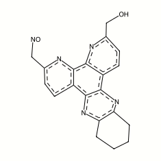 O=NCc1ccc2c(n1)c1nc(CO)ccc1c1nc3c(nc21)CCCC3